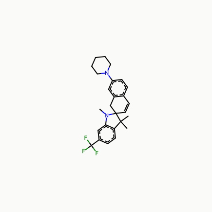 CN1c2cc(C(F)(F)F)ccc2C(C)(C)C12C=Cc1ccc(N3CCCCC3)cc1C2